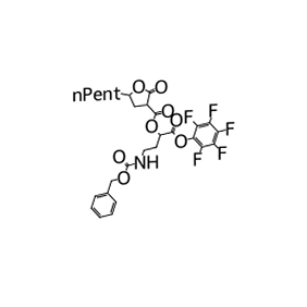 CCCCCC1CC(C(=O)OC(CCNC(=O)OCc2ccccc2)C(=O)Oc2c(F)c(F)c(F)c(F)c2F)C(=O)O1